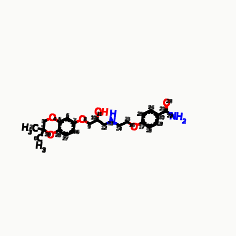 CC1(C)COc2cc(OCC(O)CNCCOc3ccc(C(N)=O)cc3)ccc2O1